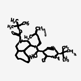 CC(C)CN(C(O)C1C=N[C@@H](C(C)(C)C)NC1Cl)C1CN(C(=O)OC(C)(C)C)CC2CCCCC21